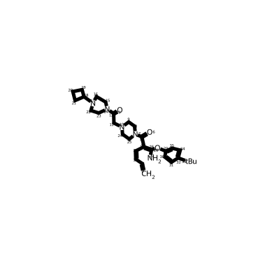 C=C/C=C\C(C(=O)N1CCN(CC(=O)N2CCN(C3CCC3)CC2)CC1)=C(/N)Oc1ccc(C(C)(C)C)cc1